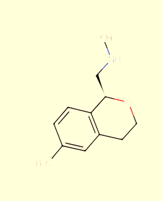 CNC[C@H]1OCCc2cc(C)ccc21